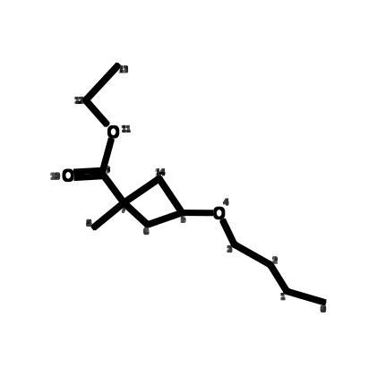 CCCCOC1CC(C)(C(=O)OCC)C1